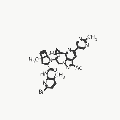 CC(=O)c1nn(CC(=O)N2[C@H](C(=O)Nc3nc(Br)ccc3C)C[C@@]3(C)C#C[C@@H]23)c2c(C3CC3)nc(-c3cnc(C)nc3)cc12